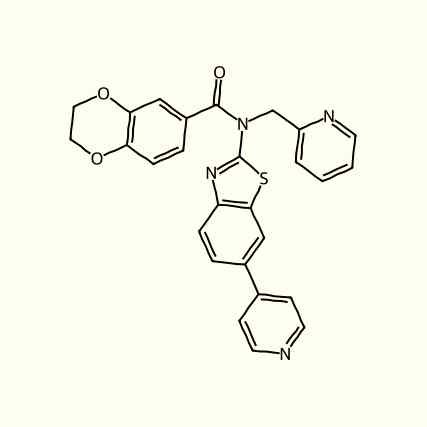 O=C(c1ccc2c(c1)OCCO2)N(Cc1ccccn1)c1nc2ccc(-c3ccncc3)cc2s1